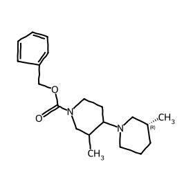 CC1CN(C(=O)OCc2ccccc2)CCC1N1CCC[C@@H](C)C1